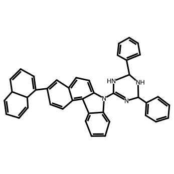 C1=CC2C=CC=C(c3ccc4c(ccc5c4c4ccccc4n5C4=NC(c5ccccc5)NC(c5ccccc5)N4)c3)C2C=C1